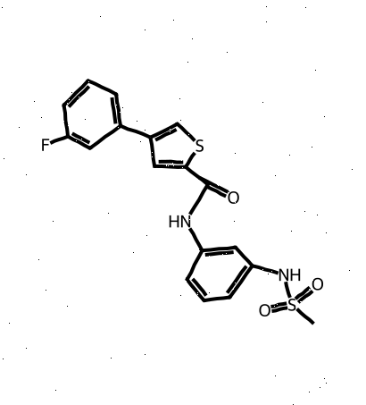 CS(=O)(=O)Nc1cccc(NC(=O)c2cc(-c3cccc(F)c3)cs2)c1